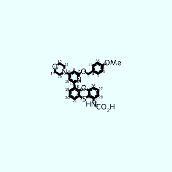 COc1ccc(COc2cc(N3CCOCC3)cc(-c3cccc4c3Oc3cccc(NC(=O)O)c3S4)n2)cc1